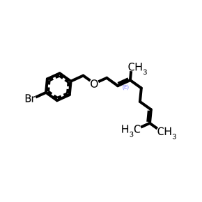 CC(C)=CCC/C(C)=C/COCc1ccc(Br)cc1